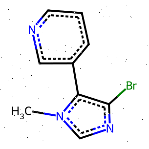 Cn1cnc(Br)c1-c1cccnc1